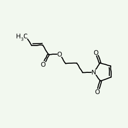 CC=CC(=O)OCCCN1C(=O)C=CC1=O